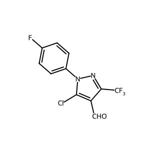 O=Cc1c(C(F)(F)F)nn(-c2ccc(F)cc2)c1Cl